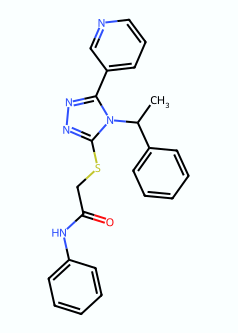 CC(c1ccccc1)n1c(SCC(=O)Nc2ccccc2)nnc1-c1cccnc1